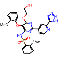 COc1ccccc1Oc1c(NS(=O)(=O)c2ccccc2SC)nc(-c2ccnc(-c3nnn[nH]3)c2)nc1OCCO